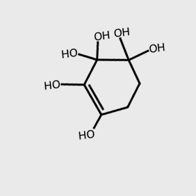 OC1=C(O)C(O)(O)C(O)(O)CC1